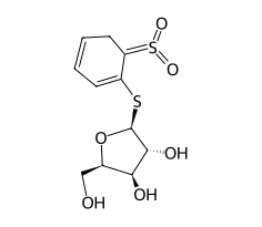 O=S(=O)=C1CC=CC=C1S[C@@H]1O[C@H](CO)[C@H](O)[C@H]1O